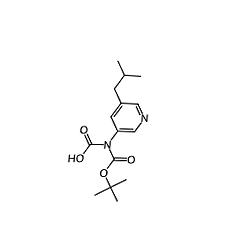 CC(C)Cc1cncc(N(C(=O)O)C(=O)OC(C)(C)C)c1